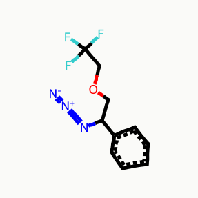 [N-]=[N+]=NC(COCC(F)(F)F)c1ccccc1